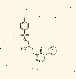 Cc1ccc(S(=O)(=O)OCC(O)CCn2nccc(-c3ccccc3)c2=O)cc1